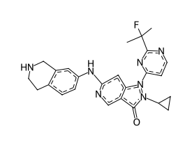 CC(C)(F)c1nccc(-n2c3cc(Nc4ccc5c(c4)CNCC5)ncc3c(=O)n2C2CC2)n1